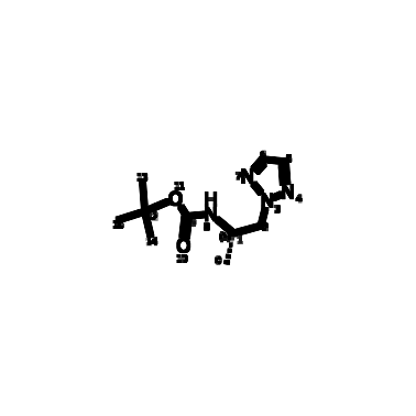 C[C@@H](Cn1nccn1)NC(=O)OC(C)(C)C